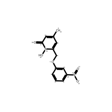 Cc1cc(COc2cccc([N+](=O)[O-])c2)n(O)c(=O)c1